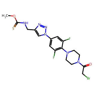 COC(=S)NCc1cn(-c2cc(F)c(N3CCN(C(=O)CBr)CC3)c(F)c2)nn1